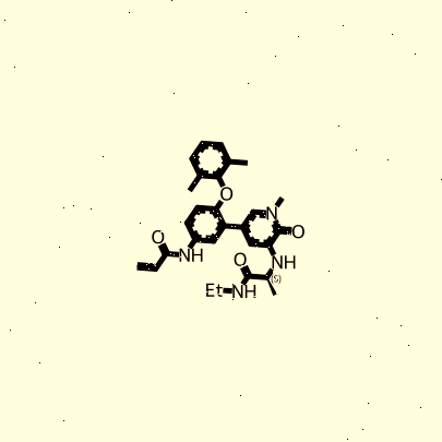 C=CC(=O)Nc1ccc(Oc2c(C)cccc2C)c(-c2cc(N[C@@H](C)C(=O)NCC)c(=O)n(C)c2)c1